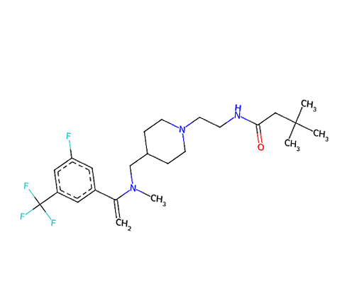 C=C(c1cc(F)cc(C(F)(F)F)c1)N(C)CC1CCN(CCNC(=O)CC(C)(C)C)CC1